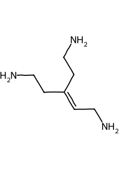 NCC=C(CCN)CCN